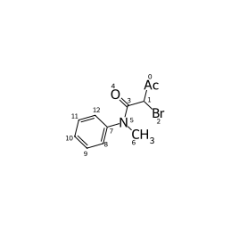 CC(=O)C(Br)C(=O)N(C)c1ccccc1